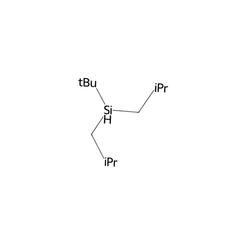 CC(C)C[SiH](CC(C)C)C(C)(C)C